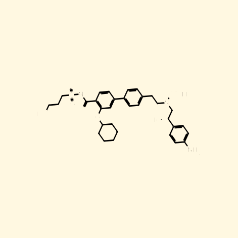 Nc1ccc([C@H](O)CN(CCc2ccc(-c3ccc(C(=O)NS(=O)(=O)CCCO)c(OC4CCCCC4)c3)cc2)C(=O)O)cc1